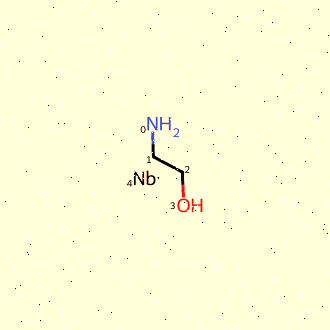 NCCO.[Nb]